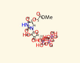 COC(=O)COc1cn([C@@H]2O[C@H](COP(=O)(O)OP(=O)(O)OP(=O)(O)O)[C@H](O)C2O)c(=O)[nH]c1=O